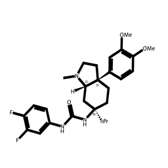 CCC[C@@]1(NC(=O)Nc2ccc(F)c(F)c2)CC[C@@]2(c3ccc(OC)c(OC)c3)CCN(C)[C@H]2C1